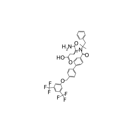 CC(C)(Cc1ccccc1)N(C(=O)c1ccc(-c2ccc(COc3cc(C(F)(F)F)cc(C(F)(F)F)c3)cc2)cc1)[C@@H](CCC(=O)O)C(N)=O